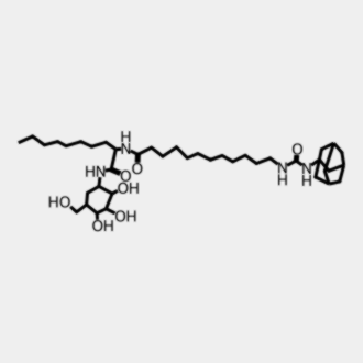 CCCCCCCCC(NC(=O)CCCCCCCCCCCNC(=O)NC12CC3CC(CC(C3)C1)C2)C(=O)NC1CC(CO)C(O)C(O)C1O